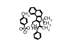 C=C(Nc1ccccc1)C1=C(CC)c2c(ccc3ccccc23)[N+]1(C)C.Cc1ccc(S(=O)(=O)[O-])cc1